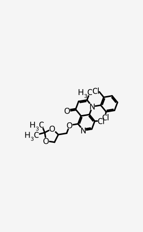 Cc1cc(=O)c2c(OCC3COC(C)(C)O3)ncc(Cl)c2n1-c1c(Cl)cccc1Cl